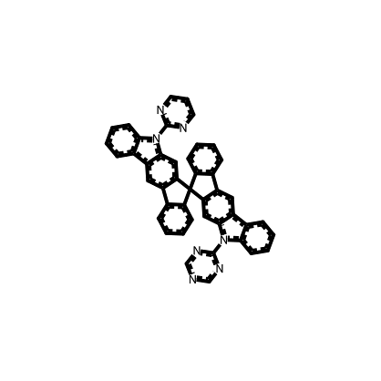 c1cnc(-n2c3ccccc3c3cc4c(cc32)C2(c3ccccc3-4)c3ccccc3-c3cc4c5ccccc5n(-c5ncncn5)c4cc32)nc1